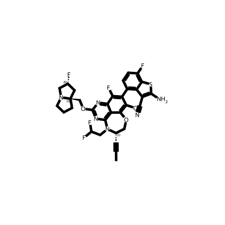 CC#C[C@H]1COc2c(Cl)c(-c3ccc(F)c4sc(N)c(C#N)c34)c(F)c3nc(OC[C@@]45CCCN4C[C@H](F)C5)nc(c23)N1CC(F)F